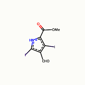 COC(=O)c1[nH]c(I)c(C=O)c1I